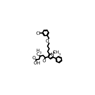 C[C@H](CC(=O)O)CC(=O)c1cc(-c2ccccc2)n(C)c1CCCCOCc1cccc(Cl)c1